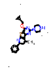 Cc1cc(-c2ccccc2)nc2sc3c(OCC4CC4)nc(N4CCNCC4)nc3c12